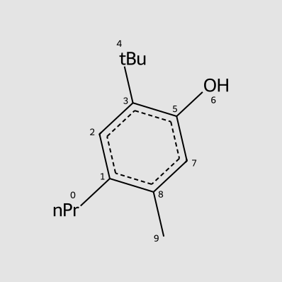 CCCc1cc(C(C)(C)C)c(O)cc1C